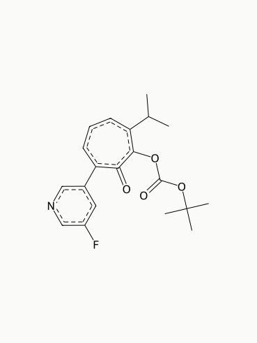 CC(C)c1cccc(-c2cncc(F)c2)c(=O)c1OC(=O)OC(C)(C)C